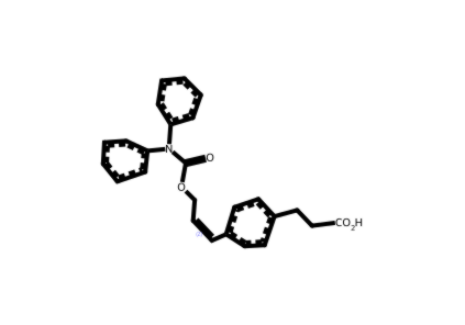 O=C(O)CCc1ccc(/C=C\COC(=O)N(c2ccccc2)c2ccccc2)cc1